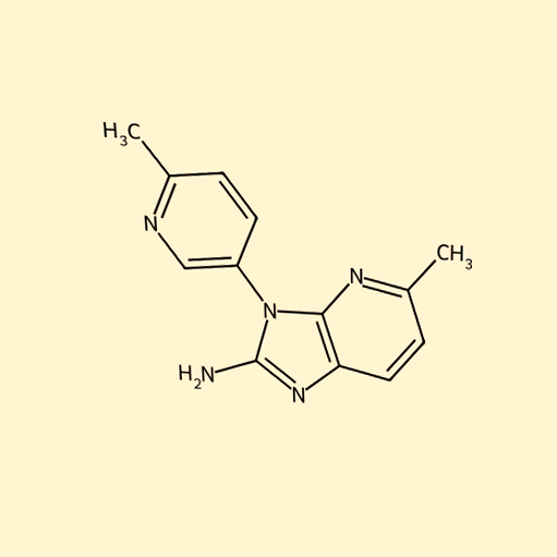 Cc1ccc(-n2c(N)nc3ccc(C)nc32)cn1